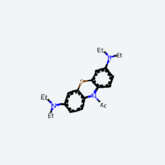 CCN(CC)c1ccc2c(c1)Sc1cc(N(CC)CC)ccc1N2C(C)=O